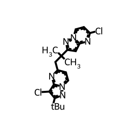 CC(C)(C)c1nn2ccc(CC(C)(C)c3cc4nc(Cl)ccn4n3)nc2c1Cl